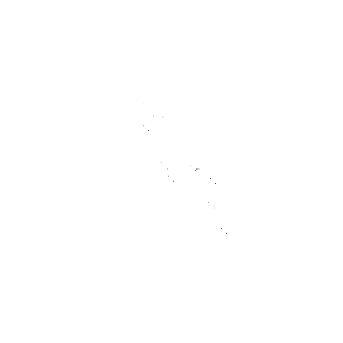 C[C@@H]1CN(C)CCN1c1nc(CF)nc(NNC(=O)[C@@H](CNC(=O)O)CC2CCCC2)c1F